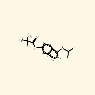 CC(C)(C)C(=O)Oc1ccc2c(OC(F)F)n[nH]c2c1